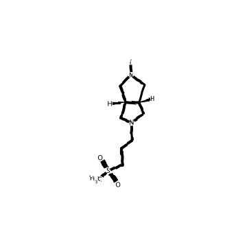 CS(=O)(=O)CCCN1C[C@H]2CN(I)C[C@H]2C1